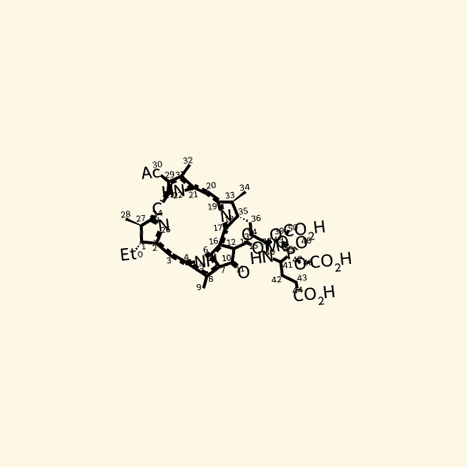 CC[C@H]1c2cc3[nH]c4c(c3C)C(=O)C(C(=O)OC)c4c3nc(cc4[nH]c(cc(n2)[C@@H]1C)c(C(C)=O)c4C)[C@@H](C)[C@@H]3CCC(=O)NC(CCC(=O)O)P(=O)(OC(=O)O)OC(=O)O